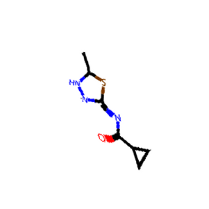 CC1N[N]C(=NC(=O)C2CC2)S1